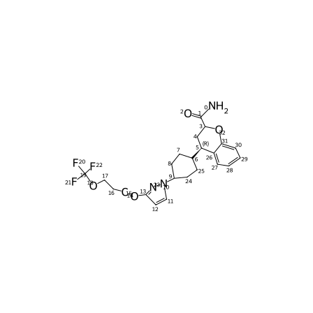 NC(=O)C1C[C@H](C2CCC(n3ccc(OCCCOC(F)(F)F)n3)CC2)c2ccccc2O1